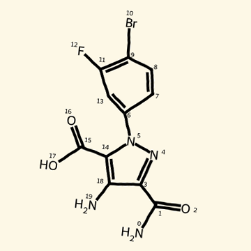 NC(=O)c1nn(-c2ccc(Br)c(F)c2)c(C(=O)O)c1N